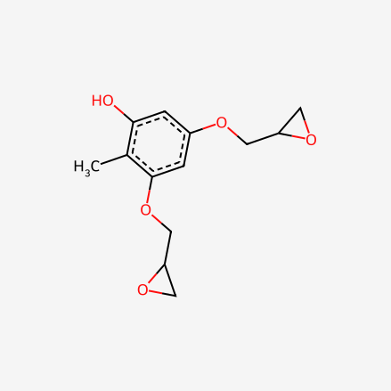 Cc1c(O)cc(OCC2CO2)cc1OCC1CO1